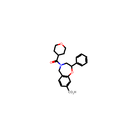 O=C(O)c1ccc2c(c1)OC(c1ccccc1)CN(C(=O)C1CCOCC1)C2